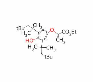 C=C(Oc1cc(C(C)(C)CC(C)(C)C)c(O)c(C(C)(C)CC(C)(C)C)c1)C(=O)OCC